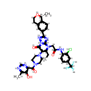 CCc1c(N2CCN(C(=O)c3ncnc(C)c3O)CC2)c(=O)n2nc(-c3ccc4c(c3)CCO[C@@H]4C)nc2n1CC(=O)Nc1ccc(C(F)(F)F)cc1Cl